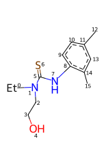 CCN(CCO)C(=S)Nc1ccc(C)cc1C